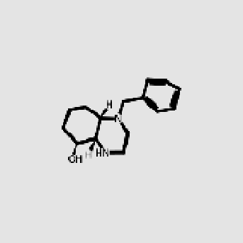 O[C@H]1CCC[C@H]2[C@@H]1NCCN2Cc1ccccc1